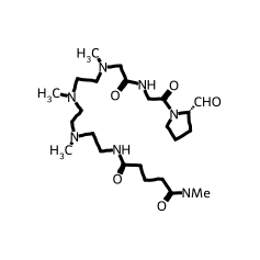 CNC(=O)CCCC(=O)NCCN(C)CCN(C)CCN(C)CC(=O)NCC(=O)N1CCC[C@H]1C=O